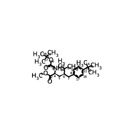 COC(=O)[C@H](C[C@H](Cc1ccc(C(C)(C)C)cc1)C(C)C)NC(=O)OC(C)(C)C